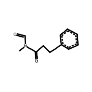 CN(C=O)C(=O)CCc1ccccc1